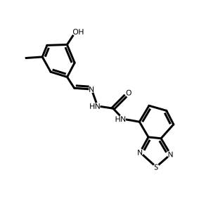 Cc1cc(O)cc(/C=N/NC(=O)Nc2cccc3nsnc23)c1